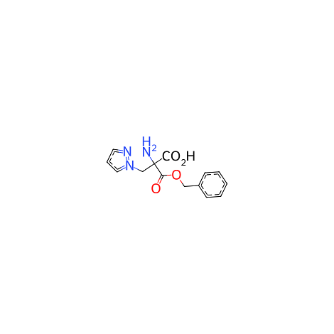 NC(Cn1cccn1)(C(=O)O)C(=O)OCc1ccccc1